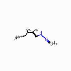 C=NN/C=C(\C(C)CC)C(C)CNC